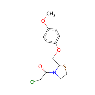 COc1ccc(OCC2SCCN2C(=O)CCl)cc1